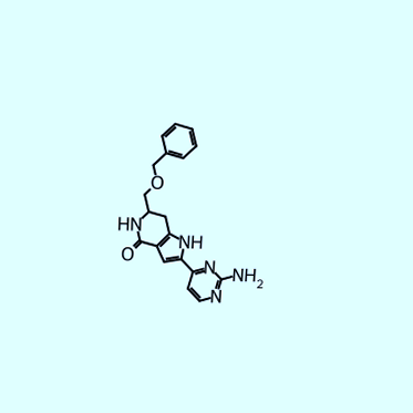 Nc1nccc(-c2cc3c([nH]2)CC(COCc2ccccc2)NC3=O)n1